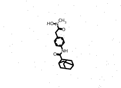 CN(O)C(=O)Cc1ccc(NC(=O)C2C3CC4CC(C3)CC2C4)cc1